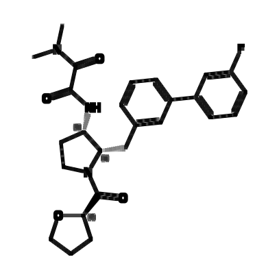 CN(C)C(=O)C(=O)N[C@H]1CCN(C(=O)[C@H]2CCCO2)[C@H]1Cc1cccc(-c2cccc(F)c2)c1